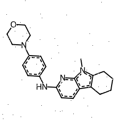 Cn1c2c(c3ccc(Nc4ccc(N5CCOCC5)cc4)nc31)CCCC2